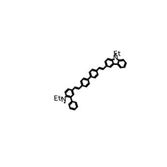 CCN(C)c1ccc(/C=C/c2ccc(-c3ccc(/C=C/c4ccc5c(c4)c4ccccc4n5CC)cc3)cc2)cc1-c1ccccc1